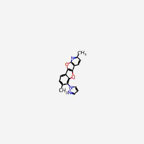 Cc1ccc2c(n1)oc1c3ccc(C)c(-n4cccn4)c3oc21